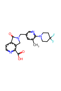 Cc1cc(CN2Cc3c(ccnc3C(=O)O)C2=O)cnc1N1CCC(F)(F)CC1